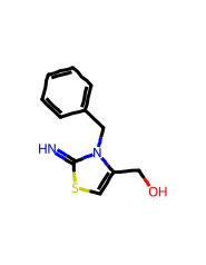 N=c1scc(CO)n1Cc1ccccc1